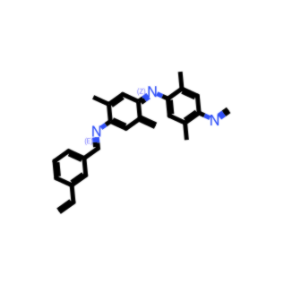 C=Cc1cccc(/C=N/C2=CC(=C)/C(=N\c3cc(C)c(N=C)cc3C)C=C2C)c1